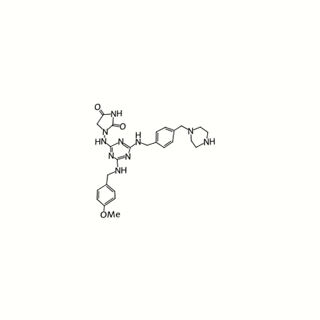 COc1ccc(CNc2nc(NCc3ccc(CN4CCNCC4)cc3)nc(NN3CC(=O)NC3=O)n2)cc1